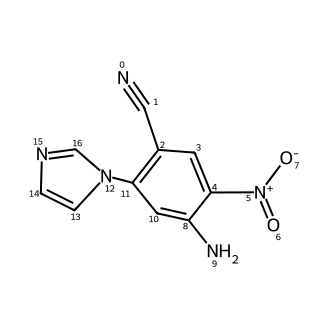 N#Cc1cc([N+](=O)[O-])c(N)cc1-n1ccnc1